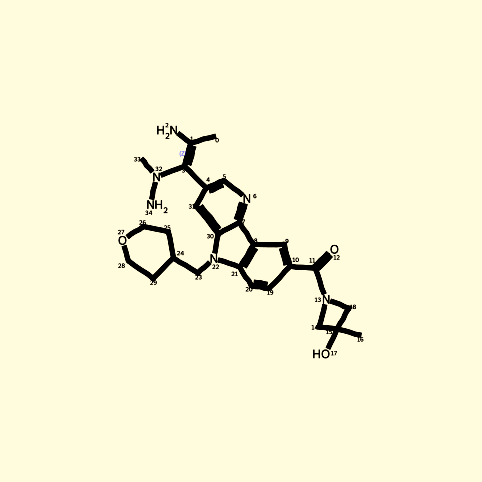 C/C(N)=C(\c1cnc2c3cc(C(=O)N4CC(C)(O)C4)ccc3n(CC3CCOCC3)c2c1)N(C)N